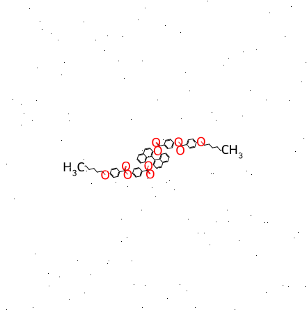 CCCCCCOc1ccc(C(=O)Oc2ccc(C(=O)Oc3ccc4ccccc4c3-c3c(OC(=O)c4ccc(OC(=O)c5ccc(OCCCCCC)cc5)cc4)ccc4ccccc34)cc2)cc1